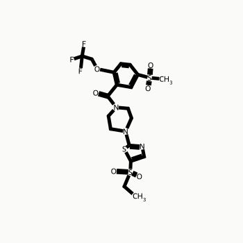 CCS(=O)(=O)c1cnc(N2CCN(C(=O)c3cc(S(C)(=O)=O)ccc3OCC(F)(F)F)CC2)s1